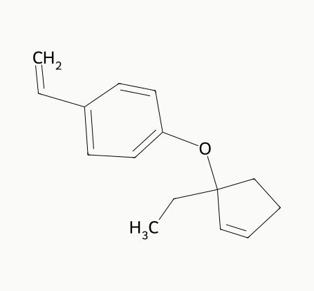 C=Cc1ccc(OC2(CC)C=CCC2)cc1